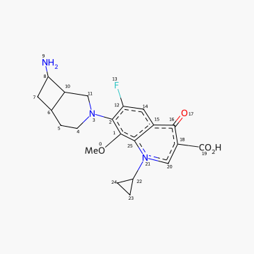 COc1c(N2CCC3CC(N)C3C2)c(F)cc2c(=O)c(C(=O)O)cn(C3CC3)c12